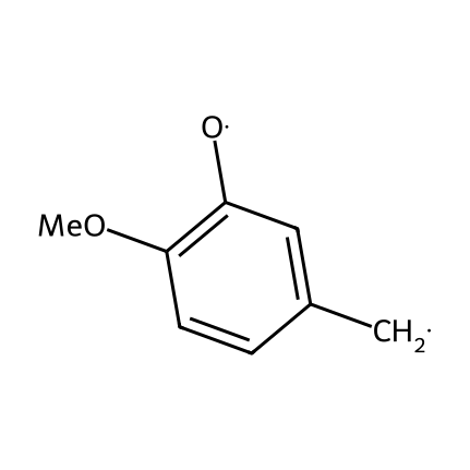 [CH2]c1ccc(OC)c([O])c1